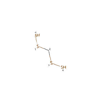 SSCSS